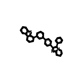 c1ccc(-c2c(-c3ccc(-c4cccc(-c5cccc6c5sc5ccccc56)c4)cc3)nc3ccccn23)cc1